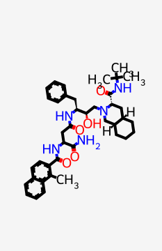 Cc1c(C(=O)NC(CC(=O)N[C@@H](Cc2ccccc2)[C@H](O)CN2C[C@H]3CCCC[C@H]3C[C@H]2C(=O)NC(C)(C)C)C(N)=O)ccc2ccccc12